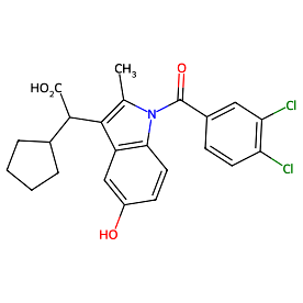 Cc1c(C(C(=O)O)C2CCCC2)c2cc(O)ccc2n1C(=O)c1ccc(Cl)c(Cl)c1